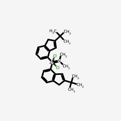 C[Si](C)=[Zr]([Cl])([Cl])([c]1cccc2c1C=C(C(C)(C)C)C2)[c]1cccc2c1C=C(C(C)(C)C)C2